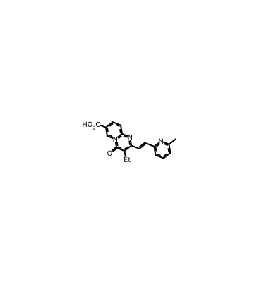 CCc1c(C=Cc2cccc(C)n2)nc2ccc(C(=O)O)cn2c1=O